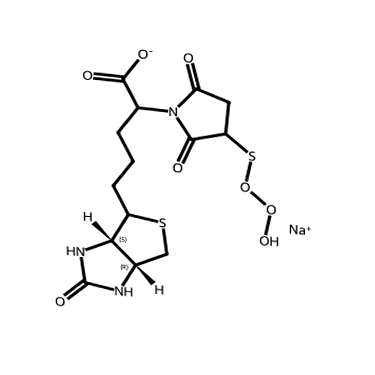 O=C1N[C@H]2CSC(CCCC(C(=O)[O-])N3C(=O)CC(SOOO)C3=O)[C@H]2N1.[Na+]